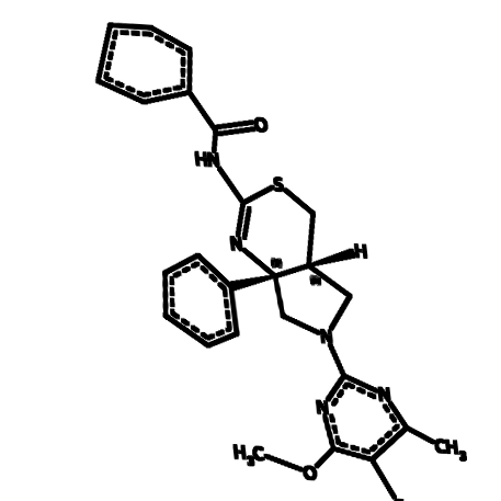 COc1nc(N2C[C@H]3CSC(NC(=O)c4ccccc4)=N[C@@]3(c3ccccc3)C2)nc(C)c1F